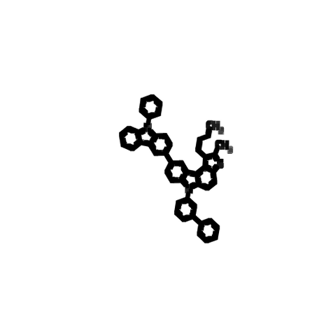 C=C/C=C\c1c(C)sc2ccc3c(c4cc(-c5ccc6c(c5)c5ccccc5n6-c5ccccc5)ccc4n3-c3cccc(-c4ccccc4)c3)c12